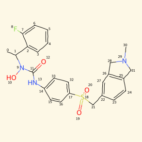 CC(c1ccccc1F)N(O)C(=O)Nc1ccc(S(=O)(=O)Cc2ccc3c(c2)CN(C)C3)cc1